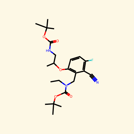 CCN(Cc1c(OC(C)CNC(=O)OC(C)(C)C)ccc(F)c1C#N)C(=O)OC(C)(C)C